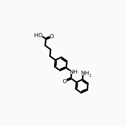 Nc1ccccc1C(=O)Nc1ccc(CCCC(=O)O)cc1